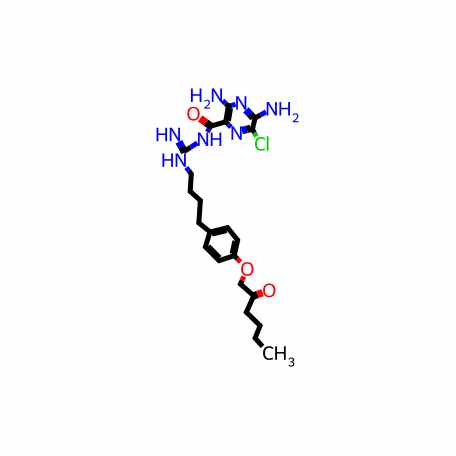 CCCCC(=O)COc1ccc(CCCCNC(=N)NC(=O)c2nc(Cl)c(N)nc2N)cc1